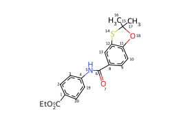 CCOC(=O)c1ccc(NC(=O)c2ccc3c(c2)SC(C)(C)O3)cc1